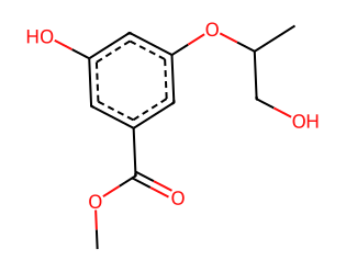 COC(=O)c1cc(O)cc(OC(C)CO)c1